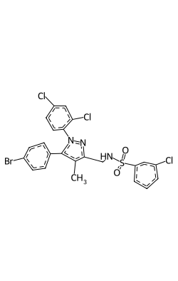 Cc1c(CNS(=O)(=O)c2cccc(Cl)c2)nn(-c2ccc(Cl)cc2Cl)c1-c1ccc(Br)cc1